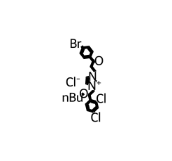 CCCCOC(C[n+]1ccn(CCC(=O)c2ccc(Br)cc2)c1)c1ccc(Cl)cc1Cl.[Cl-]